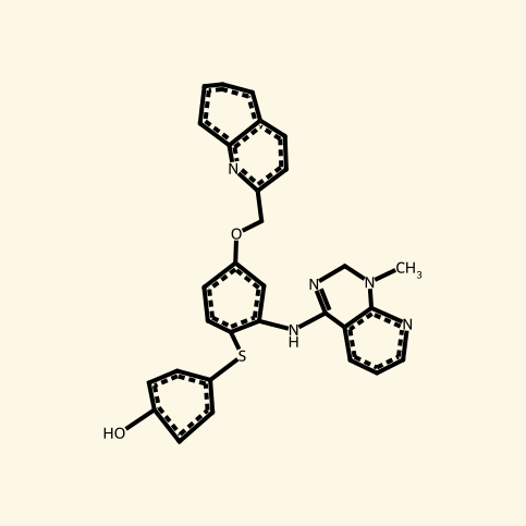 CN1CN=C(Nc2cc(OCc3ccc4ccccc4n3)ccc2Sc2ccc(O)cc2)c2cccnc21